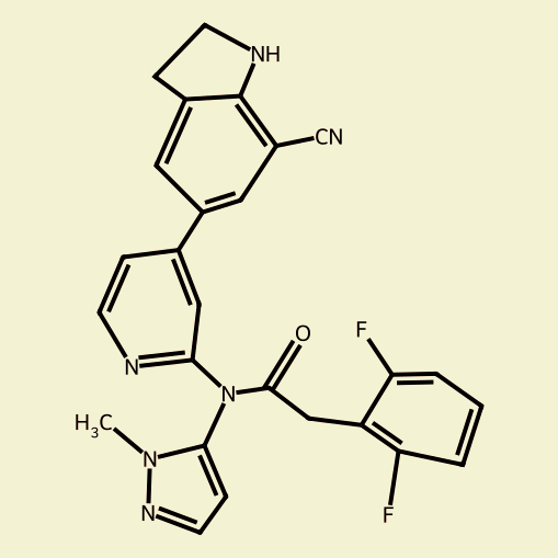 Cn1nccc1N(C(=O)Cc1c(F)cccc1F)c1cc(-c2cc(C#N)c3c(c2)CCN3)ccn1